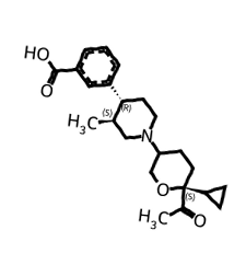 CC(=O)[C@@]1(C2CC2)CCC(N2CC[C@@H](c3cccc(C(=O)O)c3)[C@H](C)C2)CO1